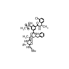 CC(C)[C@H](NC(=O)[C@H](C)NC[C@H](Cc1ccccc1)NC(=O)c1cc(C(=O)N[C@H](C)c2cccc(Cl)c2)cc(N(C)S(C)(=O)=O)c1)C(=O)NCC(C)(C)C